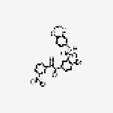 O=C(Nc1cccc([N+](=O)[O-])c1)c1ccc(Br)c(S(=O)(=O)Nc2ccc3c(c2)OCCO3)c1